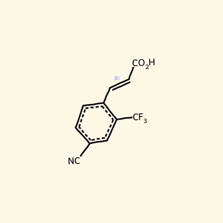 N#Cc1ccc(/C=C/C(=O)O)c(C(F)(F)F)c1